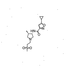 C[C@@H]1CN(CCS(C)(=O)=O)C[C@H]1NC(=O)c1cc(C2CC2)on1